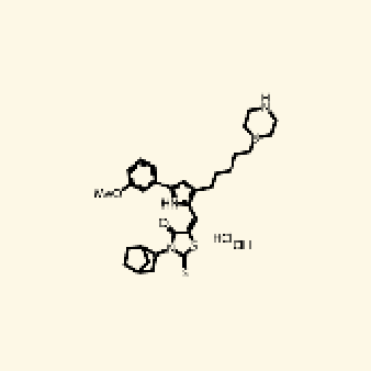 COc1cccc(-c2cc(CCCCCN3CCNCC3)c(/C=C3/SC(=S)N(C4CC5CCC4C5)C3=O)[nH]2)c1.Cl.Cl